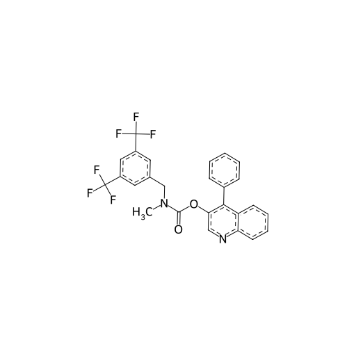 CN(Cc1cc(C(F)(F)F)cc(C(F)(F)F)c1)C(=O)Oc1cnc2ccccc2c1-c1ccccc1